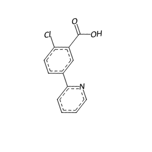 O=C(O)c1cc(-c2ccccn2)ccc1Cl